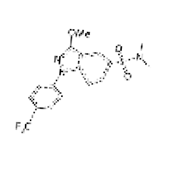 COc1nn(-c2ccc(C(F)(F)F)cc2)c2ccc(S(=O)(=O)N(C)C)cc12